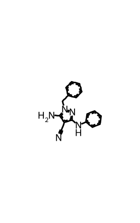 N#Cc1c(Nc2ccccc2)nn(Cc2ccccc2)c1N